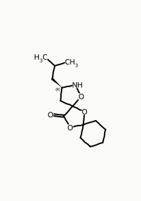 CC(C)C[C@@H]1CC2(ON1)OC1(CCCCC1)OC2=O